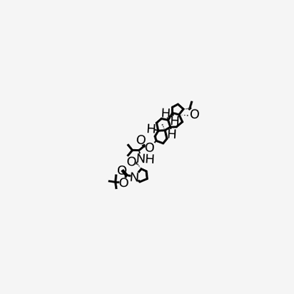 CC(=O)[C@H]1CC[C@H]2[C@@H]3CC[C@H]4C[C@H](OC(=O)[C@@H](NC(=O)[C@@H]5CCCN5C(=O)OC(C)(C)C)C(C)C)CC[C@]4(C)[C@H]3CC[C@]12C